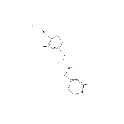 CC(C)(C)c1ccc(CNC(=O)Cc2ccc(Cl)c(Cl)c2)cc1Cl